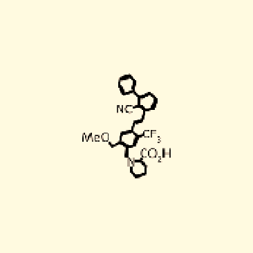 COCc1cc(C=Cc2cccc(-c3ccccc3)c2C#N)c(C(F)(F)F)cc1CN1CCCCC1C(=O)O